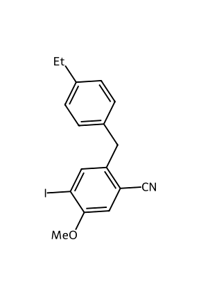 CCc1ccc(Cc2cc(I)c(OC)cc2C#N)cc1